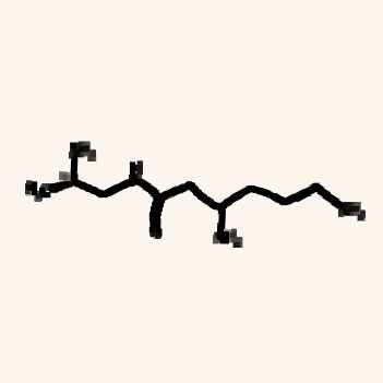 C[C@@H](N)CNC(=O)CC(N)CCCN